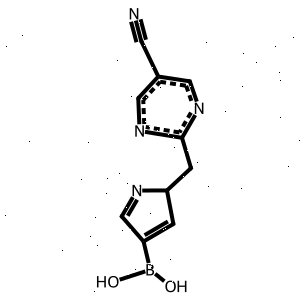 N#Cc1cnc(CC2C=C(B(O)O)C=N2)nc1